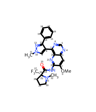 COc1cc2ncnc(-c3cn(C)nc3-c3ccccc3)c2nc1NC(=O)[C@]1(C(F)(F)F)CCCN1C